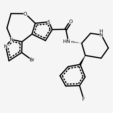 O=C(N[C@@H]1CNCC[C@H]1c1cccc(F)c1)c1cc2c(s1)OCCn1ncc(Br)c1-2